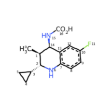 C[C@@H]1[C@@H](C2CC2)Nc2ccc(F)cc2[C@@H]1NC(=O)O